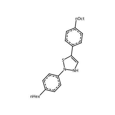 CCCCCCCCc1ccc(C2=CNN(c3ccc(CCCCCC)cc3)S2)cc1